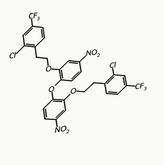 O=[N+]([O-])c1ccc(Oc2ccc([N+](=O)[O-])cc2OCCc2ccc(C(F)(F)F)cc2Cl)c(OCCc2ccc(C(F)(F)F)cc2Cl)c1